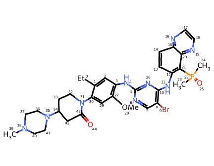 CCc1cc(Nc2ncc(Br)c(Nc3ccc4nccnc4c3P(C)(C)=O)n2)c(OC)cc1N1CCC(N2CCN(C)CC2)CC1=O